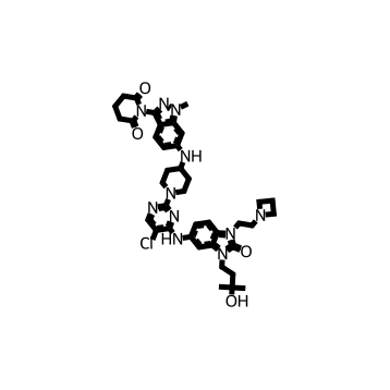 Cn1nc(N2C(=O)CCCC2=O)c2ccc(NC3CCN(c4ncc(Cl)c(Nc5ccc6c(c5)n(CCC(C)(C)O)c(=O)n6CCN5CCC5)n4)CC3)cc21